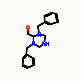 O=CC1N(Cc2ccccc2)CNCN1Cc1ccccc1